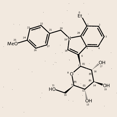 CCc1cccc2c([C@@H]3O[C@H](CO)[C@@H](O)[C@H](O)[C@H]3O)cn(Cc3ccc(OC)cc3)c12